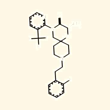 C[C@@H]1OC2(CCN(CCc3ccccc3F)CC2)CN(c2ncccc2C(F)(F)F)C1=O